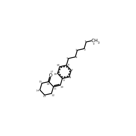 CCCCCCc1ccc(/C=C2/CCCCC2=O)cc1